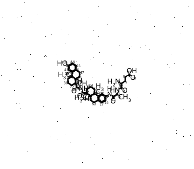 C[C@H](NC(=O)[C@@H](N)CCC(=O)O)C(=O)Nc1ccc2c(c1)[C@@]1(C)CCC[C@](C)(C(=O)NC(=O)[C@@]3(C)CCC[C@]4(C)c5cc(O)ccc5CC[C@@H]34)[C@@H]1CC2